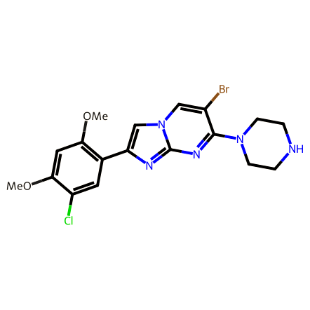 COc1cc(OC)c(-c2cn3cc(Br)c(N4CCNCC4)nc3n2)cc1Cl